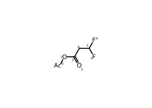 CC(=O)OC(=O)CC(F)F